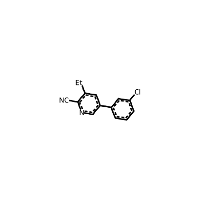 CCc1cc(-c2cccc(Cl)c2)cnc1C#N